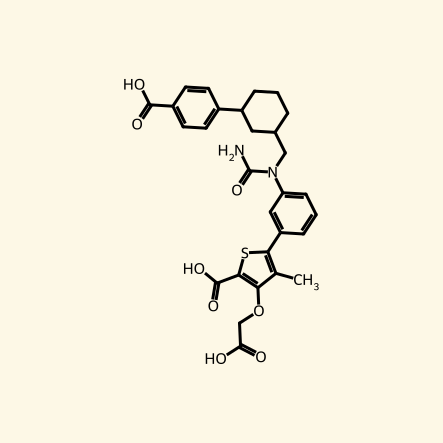 Cc1c(-c2cccc(N(CC3CCCC(c4ccc(C(=O)O)cc4)C3)C(N)=O)c2)sc(C(=O)O)c1OCC(=O)O